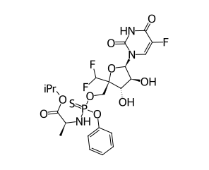 CC(C)OC(=O)[C@H](C)NP(=S)(OC[C@@]1(C(F)F)O[C@@H](n2cc(F)c(=O)[nH]c2=O)[C@@H](O)[C@@H]1O)Oc1ccccc1